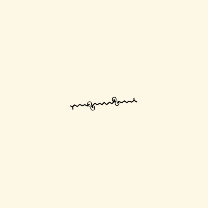 CC(C)CCCCCCOC(=O)CCCCCCCCC(=O)OCCCCCCC(C)C